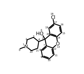 CN1CCC(C2(O)c3ccccc3Oc3ccc(Cl)cc32)CC1